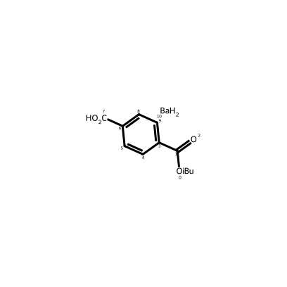 CC(C)COC(=O)c1ccc(C(=O)O)cc1.[BaH2]